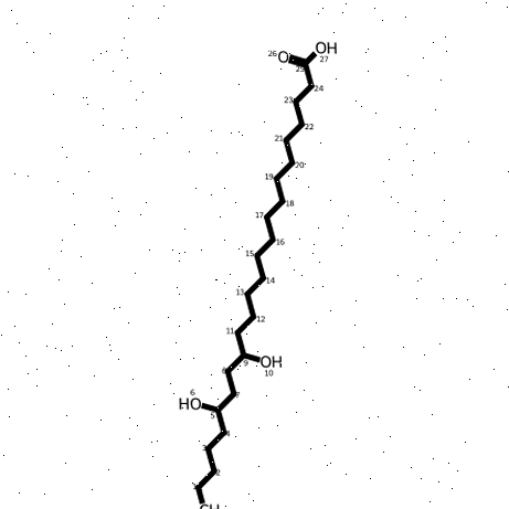 CCCCCC(O)CCC(O)CCCCCCCCCCCCCCC(=O)O